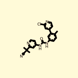 Cc1ccc(NC(=O)Nc2ccnc(C(C)(C)C#N)c2)cc1-c1ccnc(Cl)c1